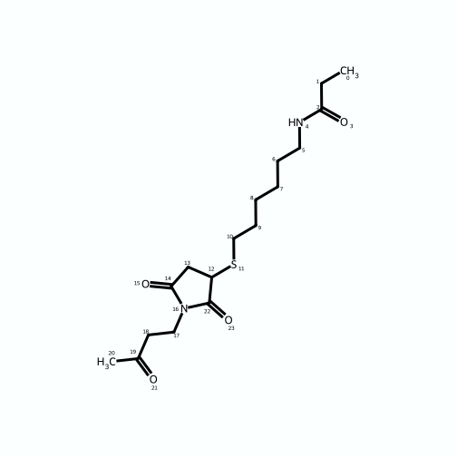 CCC(=O)NCCCCCCSC1CC(=O)N(CCC(C)=O)C1=O